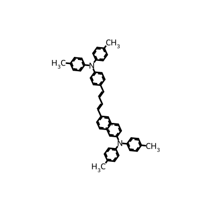 Cc1ccc(N(c2ccc(C)cc2)c2ccc(C=CC=Cc3ccc4cc(N(c5ccc(C)cc5)c5ccc(C)cc5)ccc4c3)cc2)cc1